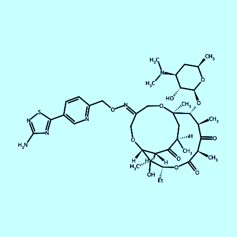 CC[C@H]1OC(=O)[C@H](C)C(=O)[C@H](C)[C@@H](O[C@@H]2O[C@H](C)C[C@H](N(C)C)[C@H]2O)[C@@]2(C)C[C@@H](C)C(=O)[C@H](C)[C@@H](OC/C(=N\OCc3ccc(-c4nc(N)ns4)cn3)CO2)[C@]1(C)O